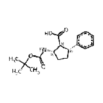 CC(C)(C)OC(=O)N[C@H]1CC[C@@H](c2ccccc2)[C@@H]1C(=O)O